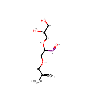 C=C(COCC(OCC(O)CO)P=O)C(=O)O